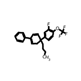 CCCCC1(c2ccc(OC(F)(F)F)c(F)c2)C=CC(c2ccccc2)=CC1